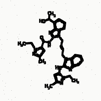 CCn1nc(C)cc1Nc1nc2ccccc2n1C/C=C/Cn1c(NC(=O)c2cc(C)nn2CC)nc2c(C(C)O)cccc21